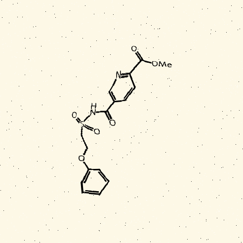 COC(=O)c1ccc(C(=O)NS(=O)(=O)CCOc2ccccc2)cn1